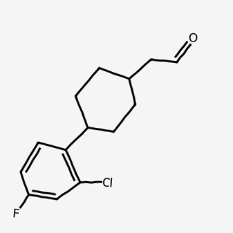 O=CCC1CCC(c2ccc(F)cc2Cl)CC1